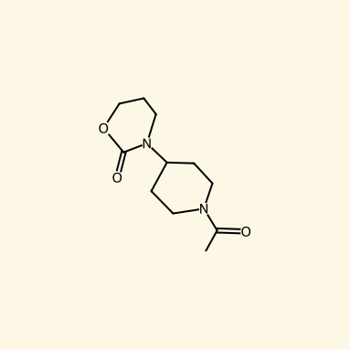 CC(=O)N1CCC(N2CCCOC2=O)CC1